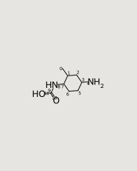 CC1CC(N)CCC1NC(=O)O